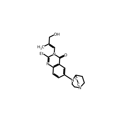 CCc1nc2ccc(N3CCN4CCC3CC4)cc2c(=O)n1/C=C(\C)CO